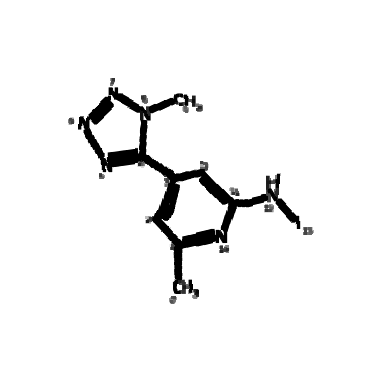 Cc1cc(-c2nnnn2C)cc(NI)n1